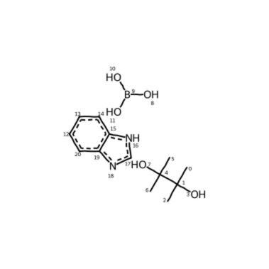 CC(C)(O)C(C)(C)O.OB(O)O.c1ccc2[nH]cnc2c1